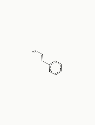 CCCCC=Cc1c[c]ccc1